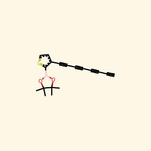 C#CC#CC#CC#Cc1ccsc1B1OC(C)(C)C(C)(C)O1